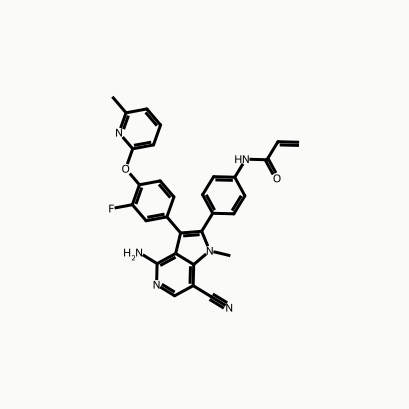 C=CC(=O)Nc1ccc(-c2c(-c3ccc(Oc4cccc(C)n4)c(F)c3)c3c(N)ncc(C#N)c3n2C)cc1